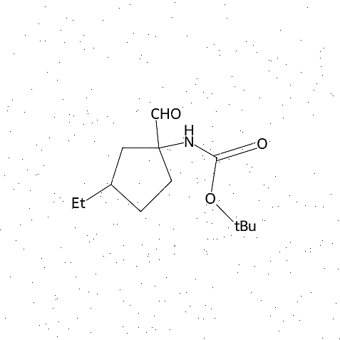 CCC1CCC(C=O)(NC(=O)OC(C)(C)C)C1